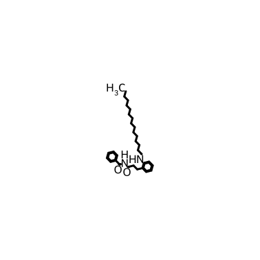 CCCCCCCCCCCCCCCCNc1ccccc1CCC(=O)NC(=O)c1ccccc1